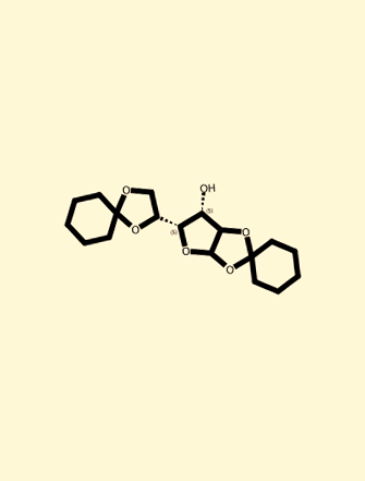 O[C@@H]1C2OC3(CCCCC3)OC2O[C@@H]1C1COC2(CCCCC2)O1